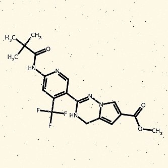 COC(=O)c1cc2n(c1)N=C(c1cnc(NC(=O)C(C)(C)C)cc1C(F)(F)F)NC2